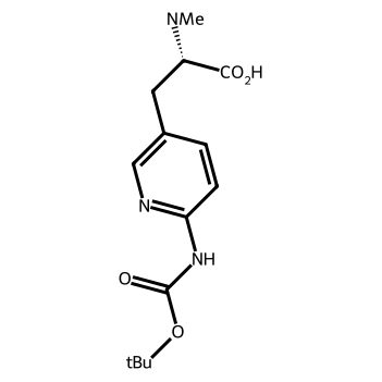 CN[C@@H](Cc1ccc(NC(=O)OC(C)(C)C)nc1)C(=O)O